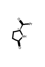 CC(C)C(=O)[C@@H]1CCC(=O)N1